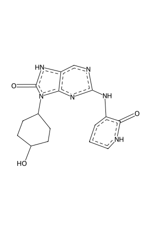 O=c1[nH]cccc1Nc1ncc2[nH]c(=O)n(C3CCC(O)CC3)c2n1